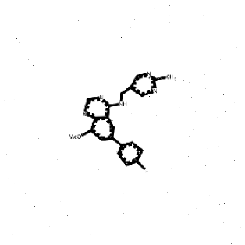 COc1cc(-c2ccc(F)cc2)cc2c(NCc3cnc(C)nc3)ncnc12